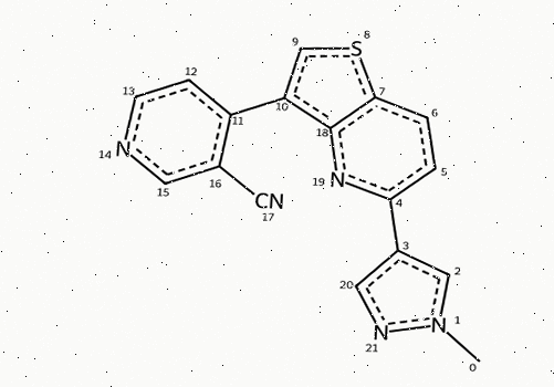 Cn1cc(-c2ccc3scc(-c4ccncc4C#N)c3n2)cn1